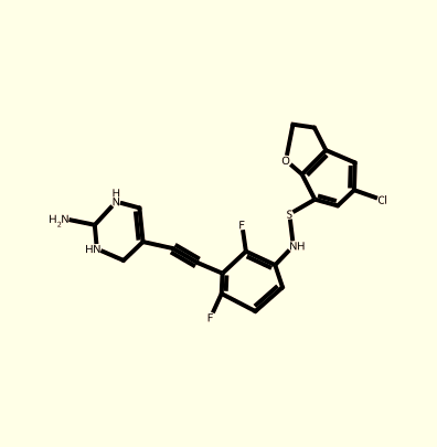 NC1NC=C(C#Cc2c(F)ccc(NSc3cc(Cl)cc4c3OCC4)c2F)CN1